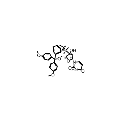 COc1ccc(C(OC[C@H]2O[C@@H](n3ccc(=O)[nH]c3=O)C[C@@]2(O)[Si](C)(C)C(C)(C)C)(c2ccccc2)c2ccc(OC)cc2)cc1